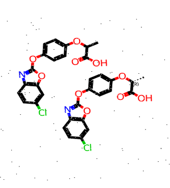 CC(Oc1ccc(Oc2nc3ccc(Cl)cc3o2)cc1)C(=O)O.C[C@@H](Oc1ccc(Oc2nc3ccc(Cl)cc3o2)cc1)C(=O)O